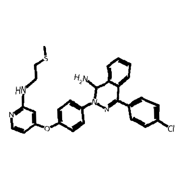 CSCCNc1cc(Oc2ccc(N3N=C(c4ccc(Cl)cc4)c4ccccc4C3N)cc2)ccn1